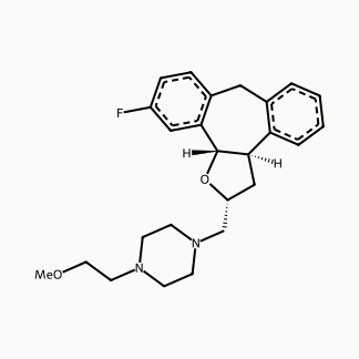 COCCN1CCN(C[C@H]2C[C@@H]3c4ccccc4Cc4ccc(F)cc4[C@H]3O2)CC1